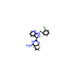 Nc1nc(-c2nn(Cc3ccccc3F)c3ncccc23)nc2sccc12